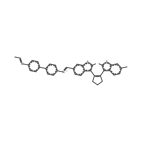 CC=Nc1ccc(-c2ccc(/N=C/c3ccc4c(C5=C(c6c(C)sc7cc(C)ccc67)CCC5)c(C)sc4c3)cc2)cc1